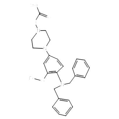 CCOc1cc(N2CCN(OC(=O)C(C)(C)C)CC2)ccc1N(Cc1ccccc1)Cc1ccccc1